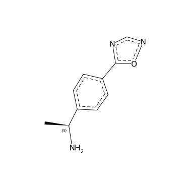 C[C@H](N)c1ccc(-c2ncno2)cc1